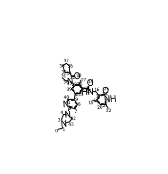 CCN1CCN(c2ccc(-c3cc(C(=O)NCc4c(C)cc(C)[nH]c4=O)c(C)c(N(CC)C(=O)C4CCCC4)c3)cn2)CC1